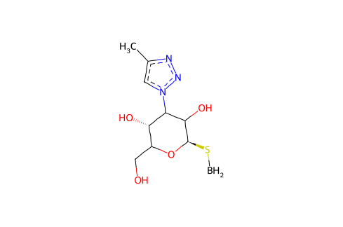 BS[C@H]1OC(CO)[C@H](O)C(n2cc(C)nn2)C1O